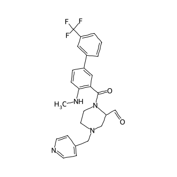 CNc1ccc(-c2cccc(C(F)(F)F)c2)cc1C(=O)N1CCN(Cc2ccncc2)CC1C=O